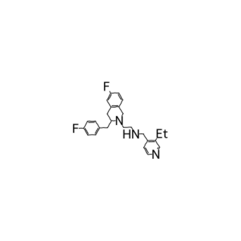 CCc1cnccc1CNCCN1Cc2ccc(F)cc2CC1Cc1ccc(F)cc1